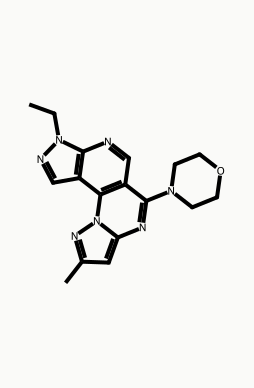 CCn1ncc2c1ncc1c(N3CCOCC3)nc3cc(C)nn3c12